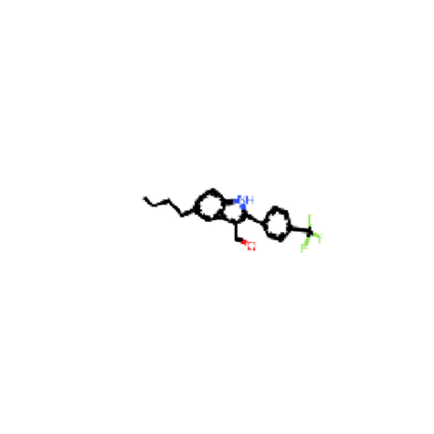 CCCCc1ccc2[nH]c(-c3ccc(C(F)(F)F)cc3)c(C=O)c2c1